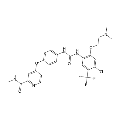 CNC(=O)c1cc(Oc2ccc(NC(=O)Nc3cc(C(F)(F)F)c(Cl)cc3OCCN(C)C)cc2)ccn1